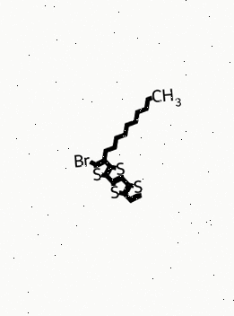 CCCCCCCCCCc1c(Br)sc2c1sc1c3sccc3sc21